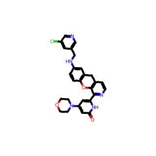 O=c1cc(N2CCOCC2)cc(-c2nccc3c2Oc2ccc(NCc4cncc(Cl)c4)cc2C3)[nH]1